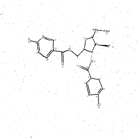 O=C(OCC1OC(NO)[C@@H](F)[C@@H]1OC(=O)C1C=CC(Cl)=CC1)c1ccc(Cl)cc1